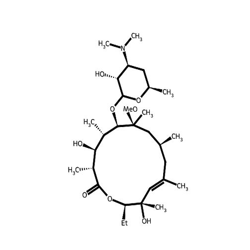 CC[C@H]1OC(=O)[C@H](C)[C@@H](O)[C@H](C)[C@@H](OC2O[C@H](C)C[C@H](N(C)C)[C@H]2O)[C@@](C)(OC)C[C@@H](C)C/C(C)=C/[C@]1(C)O